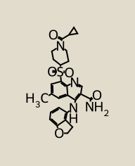 Cc1cc(S(=O)(=O)C2CCN(C(=O)C3CC3)CC2)c2ncc(C(N)=O)c(Nc3cccc4c3CCO4)c2c1